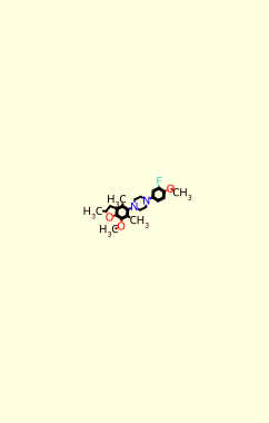 COc1ccc(N2CCN(c3c(C)c4c(c(OC)c3C)OC(C)C4)CC2)cc1F